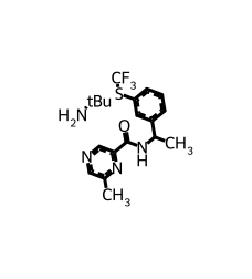 CC(C)(C)N.Cc1cncc(C(=O)NC(C)c2cccc(SC(F)(F)F)c2)n1